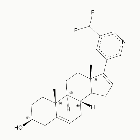 C[C@]12CC[C@H](O)CC1=CC[C@H]1C3CC=C(c4cncc(C(F)F)c4)[C@@]3(C)CC[C@@H]12